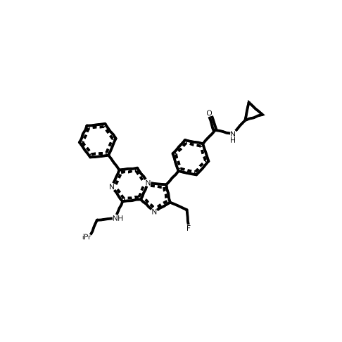 CC(C)CNc1nc(-c2ccccc2)cn2c(-c3ccc(C(=O)NC4CC4)cc3)c(CF)nc12